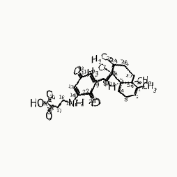 CC1=CCC[C@H]2[C@](C)(CC3=CC(=O)C=C(NCCS(=O)(=O)O)C3=O)[C@@H](C)CC[C@]12C